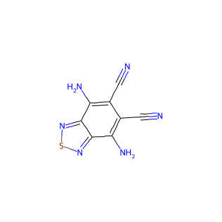 N#Cc1c(C#N)c(N)c2nsnc2c1N